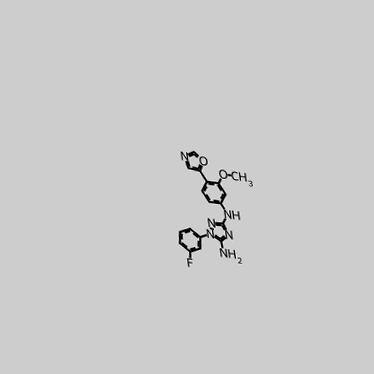 COc1cc(Nc2nc(N)n(-c3cccc(F)c3)n2)ccc1-c1cnco1